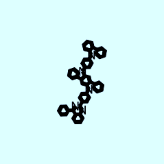 c1ccc(-c2nc(-c3ccc(-n4c5ccccc5c5cc6c(cc54)c4ccccc4n6-c4ccc(-n5c6ccccc6c6ccccc65)cc4)cc3)nc3ccccc23)cc1